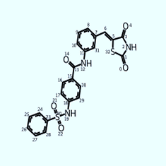 O=C1NC(=O)C(=Cc2cccc(NC(=O)c3ccc(NS(=O)(=O)c4ccccc4)cc3)c2)S1